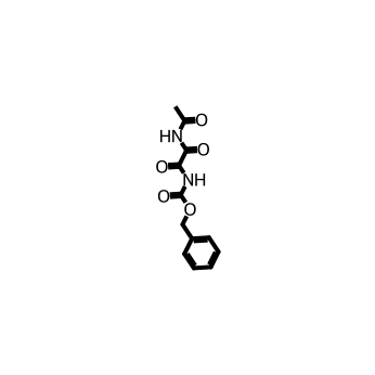 CC(=O)NC(=O)C(=O)NC(=O)OCc1ccccc1